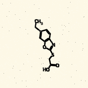 CCc1ccc2nc(SCC(=O)O)oc2c1